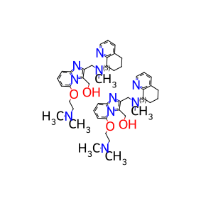 CN(C)CCOc1cccc2nc(CN(C)[C@H]3CCCc4cccnc43)c(CO)n12.CN(C)CCOc1cccc2nc(CN(C)[C@H]3CCCc4cccnc43)c(CO)n12